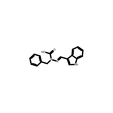 O=C(O)N(Cc1ccccc1)N=Cc1c[nH]c2ccccc12